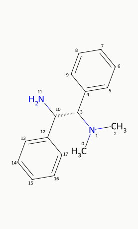 CN(C)[C@@H](c1ccccc1)C(N)c1ccccc1